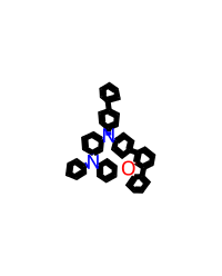 c1ccc(-c2ccc(N(c3ccc(-c4cccc5c4oc4ccccc45)cc3)c3cccc(N(c4ccccc4)c4ccccc4)c3)cc2)cc1